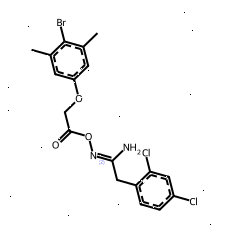 Cc1cc(OCC(=O)O/N=C(\N)Cc2ccc(Cl)cc2Cl)cc(C)c1Br